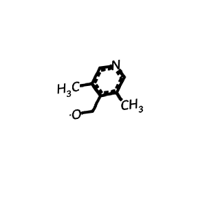 Cc1cncc(C)c1C[O]